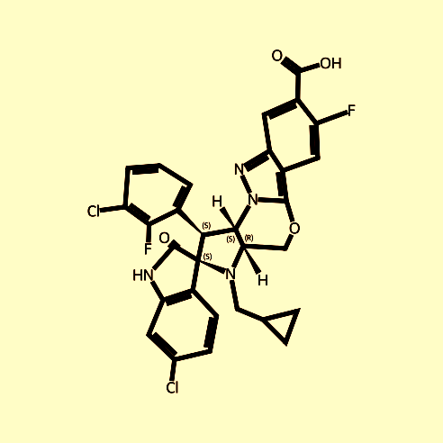 O=C(O)c1cc2nn3c(c2cc1F)OC[C@H]1[C@@H]3[C@H](c2cccc(Cl)c2F)[C@]2(C(=O)Nc3cc(Cl)ccc32)N1CC1CC1